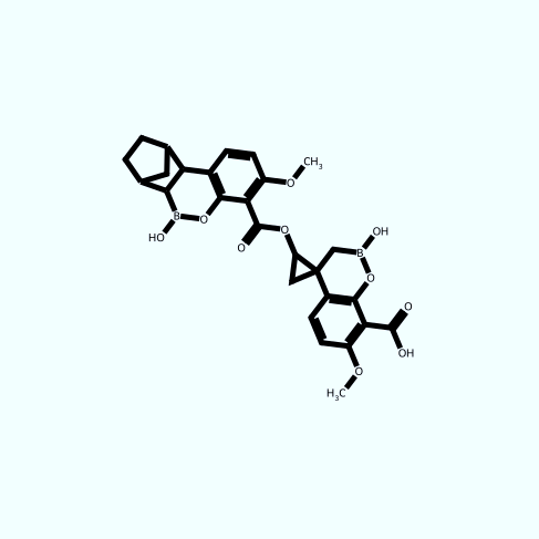 COc1ccc2c(c1C(=O)OC1CC13CB(O)Oc1c3ccc(OC)c1C(=O)O)OB(O)C1C3CCC(C3)C21